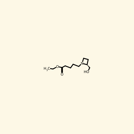 CCOC(=O)CCCCN1CC[C@H]1CO